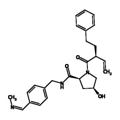 C=C[C@H](CCc1ccccc1)C(=O)N1C[C@@H](O)C[C@H]1C(=O)NCc1ccc(/C=N\C)cc1